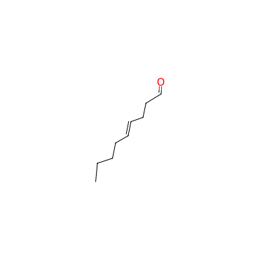 CCCCC=CCCC=O